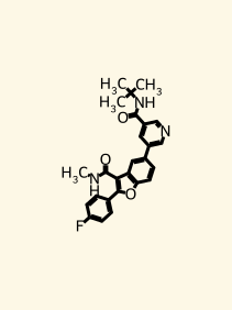 CNC(=O)c1c(-c2ccc(F)cc2)oc2ccc(-c3cncc(C(=O)NC(C)(C)C)c3)cc12